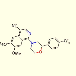 COc1cc2c(C#N)cnc(N3CCOC(c4ccc(C(F)(F)F)cc4)C3)c2cc1OC